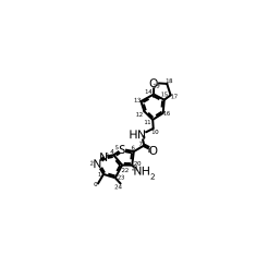 Cc1nnc2sc(C(=O)NCc3ccc4c(c3)CCO4)c(N)c2c1C